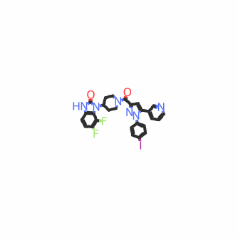 O=C(c1cc(-c2cccnc2)n(-c2ccc(I)cc2)n1)N1CCC(n2c(=O)[nH]c3ccc(F)c(F)c32)CC1